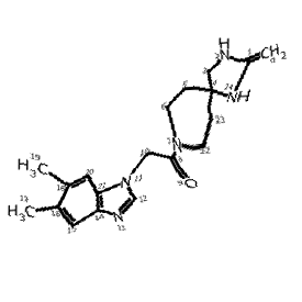 C=C1NCC2(CCN(C(=O)Cn3cnc4cc(C)c(C)cc43)CC2)N1